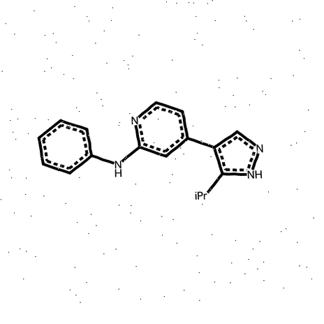 CC(C)c1[nH]ncc1-c1ccnc(Nc2ccccc2)c1